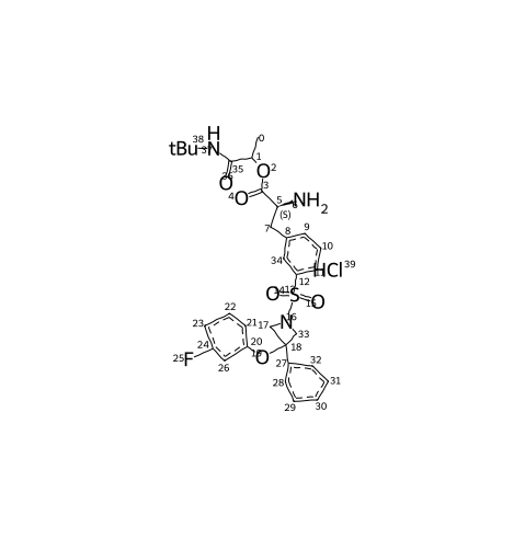 CC(OC(=O)[C@@H](N)Cc1cccc(S(=O)(=O)N2CC(Oc3cccc(F)c3)(c3ccccc3)C2)c1)C(=O)NC(C)(C)C.Cl